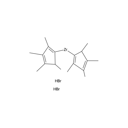 Br.Br.CC1=C(C)C(C)[C]([Zr][C]2=C(C)C(C)=C(C)C2C)=C1C